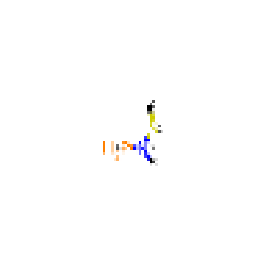 CSN(C)P